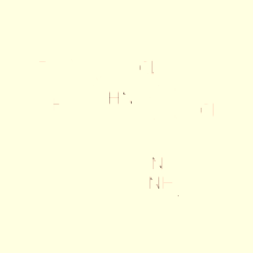 NN1CCc2c(Cl)cc(Cl)c(NCc3ccc(F)c(F)c3)c2CC1